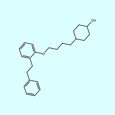 OC1CCN(CCCCOc2ccccc2CCc2ccccc2)CC1